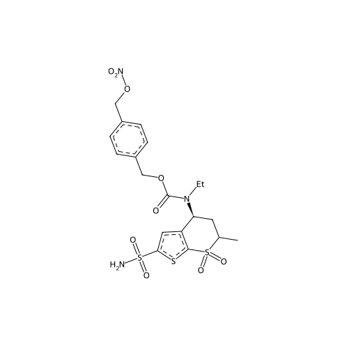 CCN(C(=O)OCc1ccc(CO[N+](=O)[O-])cc1)[C@H]1CC(C)S(=O)(=O)c2sc(S(N)(=O)=O)cc21